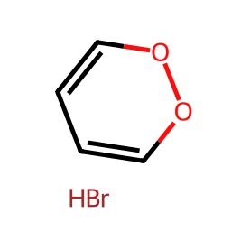 Br.C1=COOC=C1